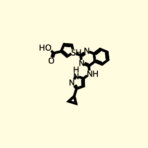 O=C(O)C1=C[SH](c2nc(Nc3cc(C4CC4)n[nH]3)c3ccccc3n2)C=C1